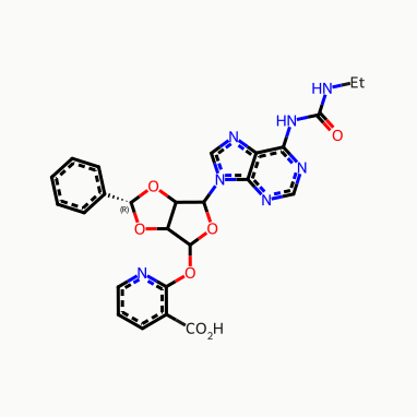 CCNC(=O)Nc1ncnc2c1ncn2C1OC(Oc2ncccc2C(=O)O)C2O[C@H](c3ccccc3)OC21